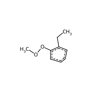 CCc1ccccc1OOC